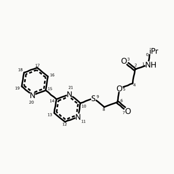 CC(C)NC(=O)COC(=O)CSc1nccc(-c2ccccn2)n1